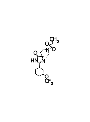 C=CS(=O)(=O)N1CCC2(CC1)N=C(C1CCCC(OC(F)(F)F)C1)NC2=O